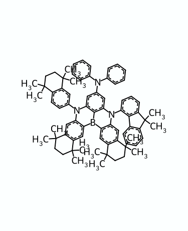 CC1(C)CCC(C)(C)c2cc(N3c4cc5c(cc4B4c6cc7c(cc6N(c6cccc8c6-c6ccccc6C8(C)C)c6cc(N(c8ccccc8)c8ccccc8)cc3c64)C(C)(C)CCC7(C)C)C(C)(C)CCC5(C)C)ccc21